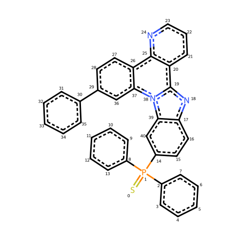 S=P(c1ccccc1)(c1ccccc1)c1ccc2nc3c4cccnc4c4ccc(-c5ccccc5)cc4n3c2c1